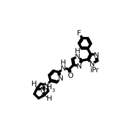 CC(C)n1cnc(-c2ccc(F)cc2)c1-c1nc(C(=O)Nc2ccc(N3C[C@H]4CC[C@@H](C3)N4C)cn2)c[nH]1